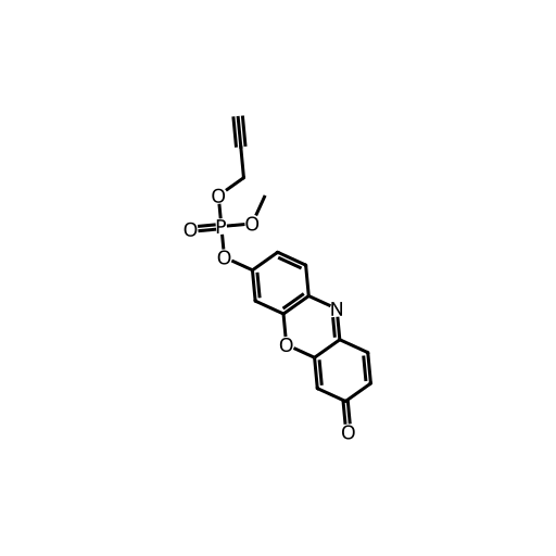 C#CCOP(=O)(OC)Oc1ccc2nc3ccc(=O)cc-3oc2c1